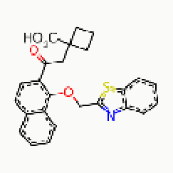 O=C(CC1(C(=O)O)CCC1)c1ccc2ccccc2c1OCc1nc2ccccc2s1